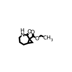 CCOC(=O)C12CC1CCCNC2=O